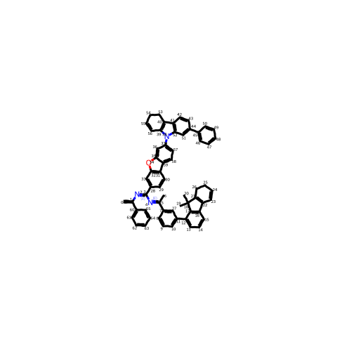 C=C(/N=C(\N=C(/C)c1cccc(-c2cccc3c2C(C)(C)C2=C3C=CCC2)c1)c1ccc2c(c1)oc1cc(-n3c4c(c5ccc(-c6ccccc6)cc53)CCC=C4)ccc12)c1ccccc1